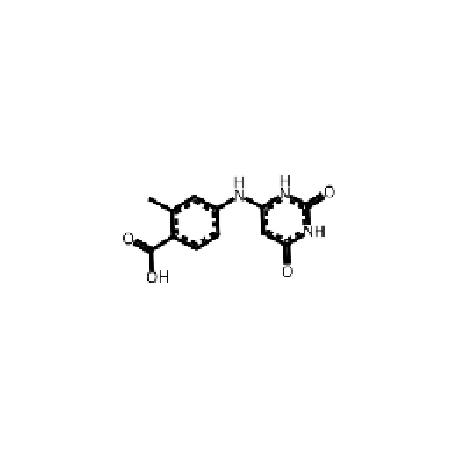 Cc1cc(Nc2cc(=O)[nH]c(=O)[nH]2)ccc1C(=O)O